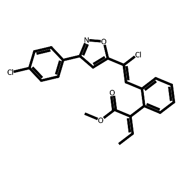 CC=C(C(=O)OC)c1ccccc1C=C(Cl)c1cc(-c2ccc(Cl)cc2)no1